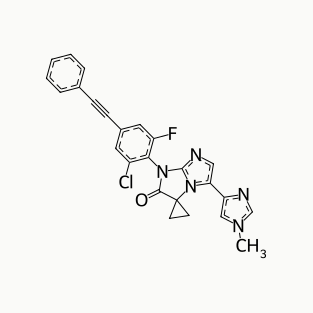 Cn1cnc(-c2cnc3n2C2(CC2)C(=O)N3c2c(F)cc(C#Cc3ccccc3)cc2Cl)c1